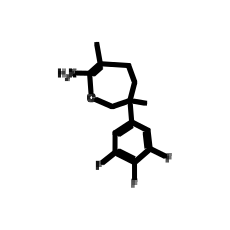 CC1=C(N)OCC(C)(c2cc(F)c(F)c(F)c2)CC1